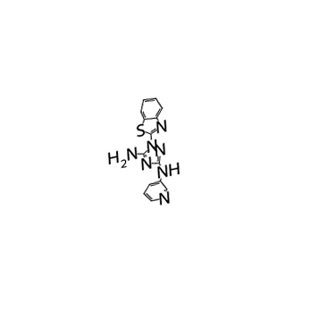 Nc1nc(Nc2cccnc2)nn1-c1nc2ccccc2s1